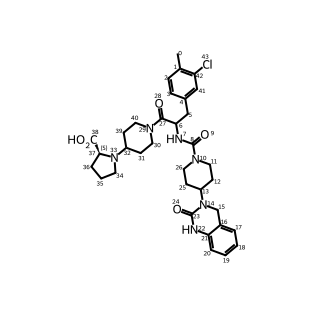 Cc1ccc(CC(NC(=O)N2CCC(N3Cc4ccccc4NC3=O)CC2)C(=O)N2CCC(N3CCC[C@H]3C(=O)O)CC2)cc1Cl